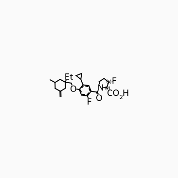 C=C1CC(C)CC(CC)(COc2cc(F)c(C(=O)N3CC[C@H](F)[C@H]3C(=O)O)cc2C2CC2)C1